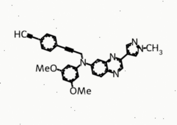 C#Cc1ccc(C#CCN(c2cc(OC)cc(OC)c2)c2ccc3ncc(-c4cnn(C)c4)nc3c2)cc1